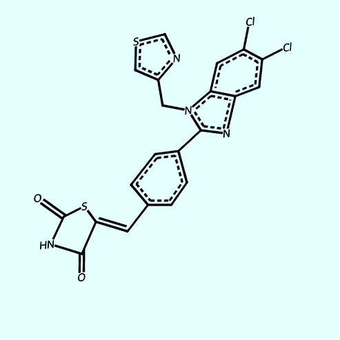 O=C1NC(=O)C(=Cc2ccc(-c3nc4cc(Cl)c(Cl)cc4n3Cc3cscn3)cc2)S1